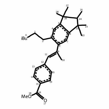 CCC(C)CCc1cc2c(cc1C(C)=Cc1ccc(C(=O)OC)cc1)C(C)(C)C(C)C2(C)C